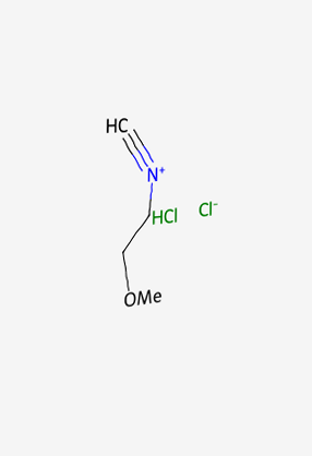 C#[N+]CCOC.Cl.[Cl-]